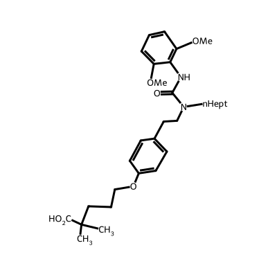 CCCCCCCN(CCc1ccc(OCCCC(C)(C)C(=O)O)cc1)C(=O)Nc1c(OC)cccc1OC